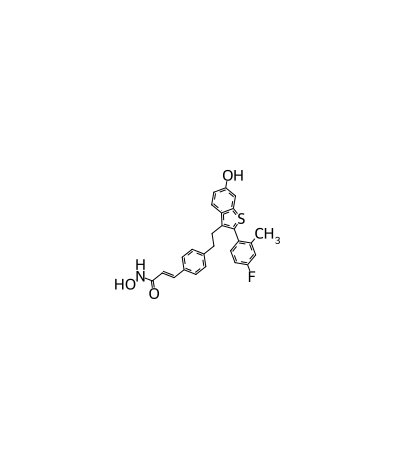 Cc1cc(F)ccc1-c1sc2cc(O)ccc2c1CCc1ccc(/C=C/C(=O)NO)cc1